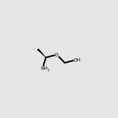 C[C@H](N)OCO